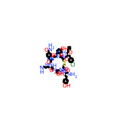 CNCCCC[C@@H]1NC(=O)[C@@H](Cc2ccc(C(N)=O)cc2)NC(=O)[C@H](Cc2ccc(O)cc2)NC(=O)[C@H](NC(=O)[C@@H](CC(=O)CC(C)(C)C)Cc2ccc(Cl)cc2)CSSC[C@@H](C(=O)N[C@H](CCc2ccc(O)cc2)C(N)=O)NC(=O)[C@H]([C@@H](C)O)NC1=O